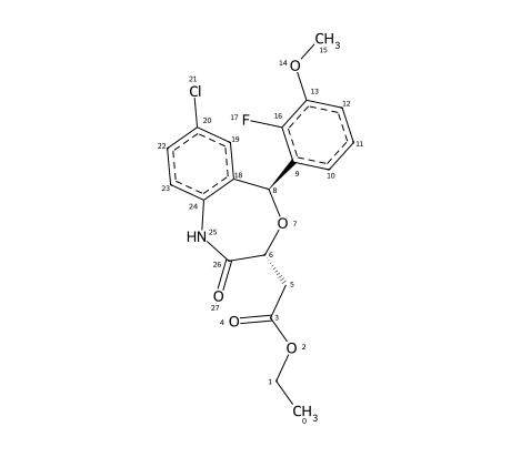 CCOC(=O)C[C@H]1O[C@H](c2cccc(OC)c2F)c2cc(Cl)ccc2NC1=O